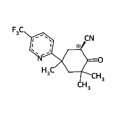 CC1(C)CC(C)(c2ccc(C(F)(F)F)cn2)C[C@@H](C#N)C1=O